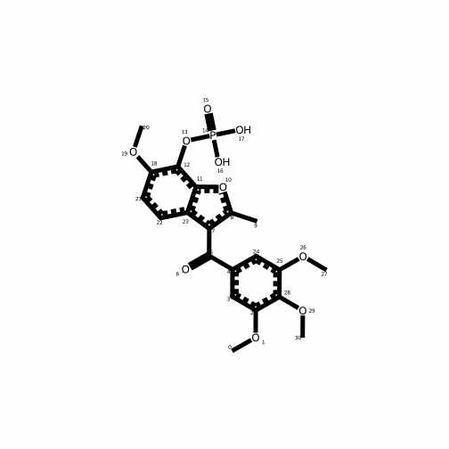 COc1cc(C(=O)c2c(C)oc3c(OP(=O)(O)O)c(OC)ccc23)cc(OC)c1OC